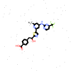 Cc1cc(Nc2nccc(C(F)(F)F)n2)cc(-c2cnc(C(O)Cc3ccc(C(=O)O)cc3)s2)n1